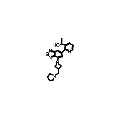 CC(O)c1cccnc1-c1cc(N2CC(CN3CCCC3)C2)c2nonc2c1